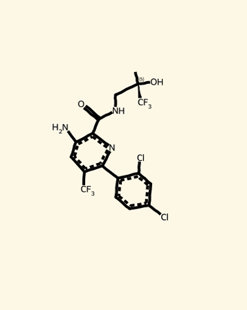 C[C@](O)(CNC(=O)c1nc(-c2ccc(Cl)cc2Cl)c(C(F)(F)F)cc1N)C(F)(F)F